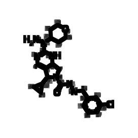 NN(C1=NC=C2C(CN(C(=O)N=NCc3cccc(Cl)c3)C2C2CC2)N1)C1CCOCC1